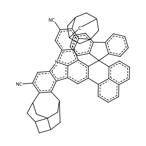 N#Cc1cc2c(c3c1C1CC4CC5CC3CC45C1)c1cc3c(c4c5c6c(c(C#N)cc5n2c14)C1CC2CC(C1)CC6C2)C1(c2ccccc2-c2ccccc21)c1cccc2cccc-3c12